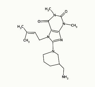 CC(C)=CCn1c(N2CCCC(CN)C2)nc2c1c(=O)n(C)c(=O)n2C